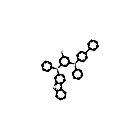 Brc1cc(N(c2ccccc2)c2ccc(-c3ccccc3)cc2)cc(N(c2ccccc2)c2ccc3c(c2)sc2ccccc23)c1